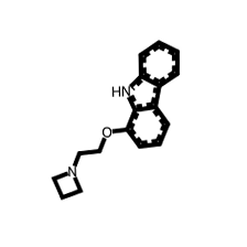 c1ccc2c(c1)[nH]c1c(OCCN3CCC3)cccc12